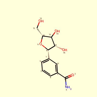 NC(=O)c1cccc([C@@H]2O[C@H](CO)C(O)[C@@H]2O)c1